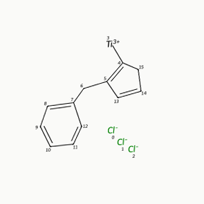 [Cl-].[Cl-].[Cl-].[Ti+3][C]1=C(Cc2ccccc2)C=CC1